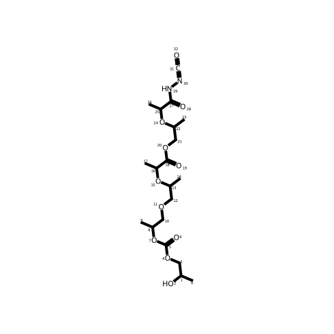 CC(O)COC(=O)OC(C)COCC(C)OC(C)C(=O)OCC(C)OC(C)C(=O)NN=C=O